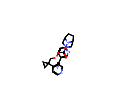 N#Cc1ccc(N2C3CCC2CN(C(=O)COCC2(c4ccncc4)CC2)C3)nc1